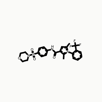 Cc1cc(C(=O)Nc2ccc(S(=O)(=O)N3CCOCC3)cc2)c(C)n1-c1ccccc1C(F)(F)F